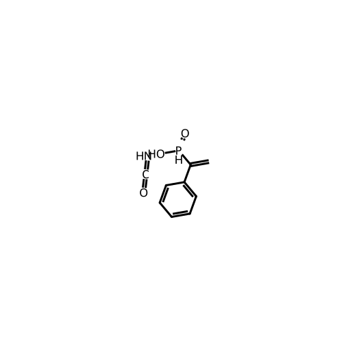 C=C(c1ccccc1)[PH](=O)O.N=C=O